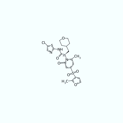 Cc1occc1S(=O)(=O)c1cc(C)n([C@H](CC2CCOCC2)C(=O)Nc2ncc(Cl)s2)c(=O)c1